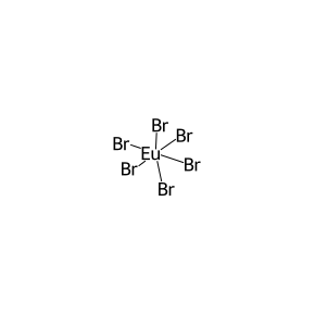 [Br][Eu]([Br])([Br])([Br])([Br])[Br]